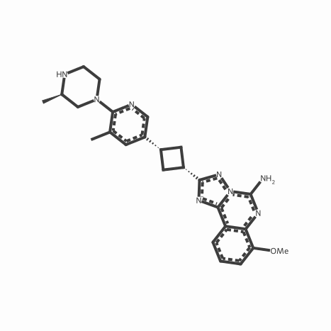 COc1cccc2c1nc(N)n1nc([C@H]3C[C@@H](c4cnc(N5CCN[C@H](C)C5)c(C)c4)C3)nc21